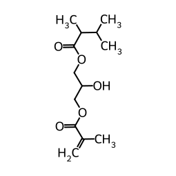 C=C(C)C(=O)OCC(O)COC(=O)C(C)C(C)C